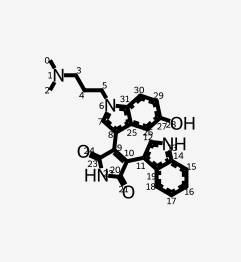 CN(C)CCCn1cc(C2=C(c3c[nH]c4ccccc34)C(=O)NC2=O)c2cc(O)ccc21